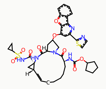 O=C(N[C@H]1CCCCC/C=C\[C@@H]2C[C@@]2(C(=O)NS(=O)(=O)C2CC2)NC(=O)[C@@H]2C[C@@H](Oc3cc(-c4nccs4)nc4c3oc3ccccc34)CN2C1=O)OC1CCCC1